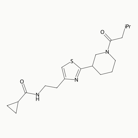 CC(C)CC(=O)N1CCCC(c2nc(CCNC(=O)C3CC3)cs2)C1